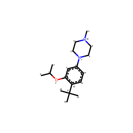 CC(C)Oc1cc(N2CCN(C)CC2)ccc1C(C)(C)C